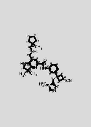 Cn1cnnc1C[C@]1(c2cccc(NC(=O)c3cc(CNCC4(C)CCCC4)c4c(n3)C(C)(C)CN4)c2)C[C@H](C#N)C1